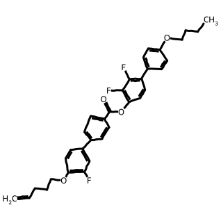 C=CCCCOc1ccc(-c2ccc(C(=O)Oc3ccc(-c4ccc(OCCCC)cc4)c(F)c3F)cc2)cc1F